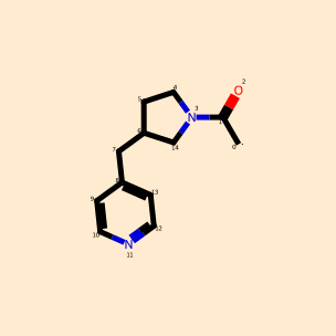 [CH2]C(=O)N1CCC(Cc2ccncc2)C1